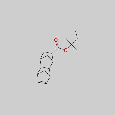 CCC(C)(C)OC(=O)C1CC2CC1C1C3C=CC(C3)C21